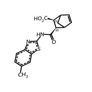 Cc1ccc2nc(NC(=O)[C@@H]3C4C=CC(C4)[C@@H]3C(=O)O)sc2c1